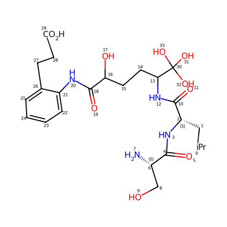 CC(C)C[C@H](NC(=O)[C@@H](N)CO)C(=O)NC(CCC(O)C(=O)Nc1ccccc1CCC(=O)O)C(O)(O)O